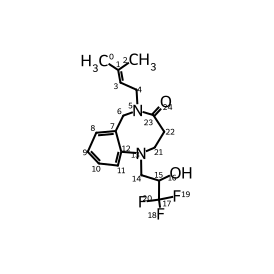 CC(C)=CCN1Cc2ccccc2N(CC(O)C(F)(F)F)CCC1=O